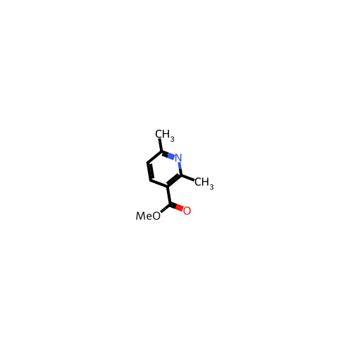 COC(=O)c1ccc(C)nc1C